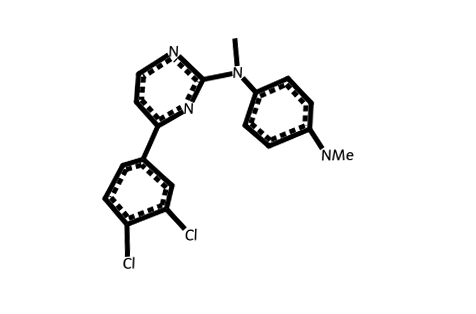 CNc1ccc(N(C)c2nccc(-c3ccc(Cl)c(Cl)c3)n2)cc1